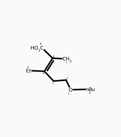 CCCCOCCC(CC)=C(C)C(=O)O